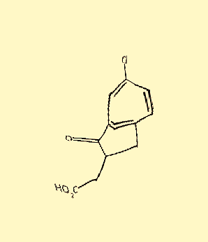 O=C(O)CC1Cc2ccc(Cl)cc2C1=O